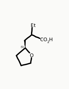 CCC(C[C@@H]1CCCO1)C(=O)O